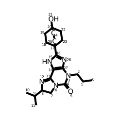 CCCN1C(=O)N2CC(C(C)C)N=C2c2[nH]c(C34CCC(O)(CC3)CC4)nc21